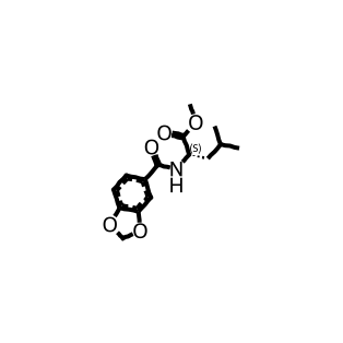 COC(=O)[C@H](CC(C)C)NC(=O)c1ccc2c(c1)OCO2